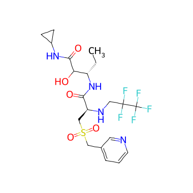 CC[C@H](NC(=O)[C@H](CS(=O)(=O)Cc1cccnc1)NCC(F)(F)C(F)(F)F)C(O)C(=O)NC1CC1